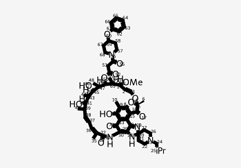 CO[C@H]1/C=C/O[C@@]2(C)Oc3c(C)c(O)c4c(c3C2=O)C2=NC3(CCN(CC(C)C)CC3)NC2=C(NC(=O)/C(C)=C\C=C\C(C)[C@H](O)[C@@H](C)C(O)[C@@H](C)C(OC(=O)CC(=O)N2CCC(Oc3ccccc3)CC2)[C@@H]1C)C4=O